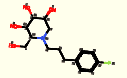 OC[C@@H]1[C@@H](O)[C@H](O)[C@@H](O)CN1CCCc1ccc(F)cc1